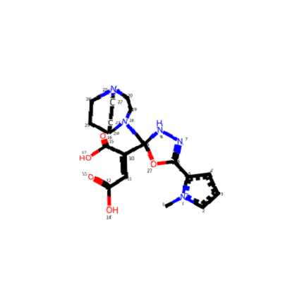 Cn1cccc1C1=NNC(C(=CC(=O)O)C(=O)O)(N2CCN3CCC2CC3)O1